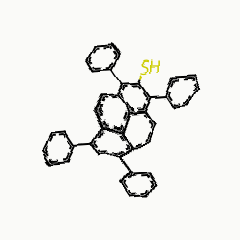 Sc1c(-c2ccccc2)c2ccc3c(-c4ccccc4)cc(-c4ccccc4)c4ccc(c1-c1ccccc1)c2c34